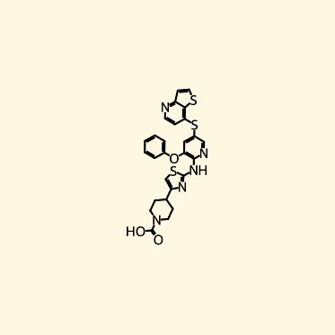 O=C(O)N1CCC(c2csc(Nc3ncc(Sc4ccnc5ccsc45)cc3Oc3ccccc3)n2)CC1